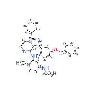 CN1CCC(NC(=O)O)CC1.Nc1nccn2c(C3CCCCC3)nc(-c3cccc(OCc4ccccc4)c3)c12